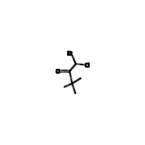 CCC(Cl)C(=O)C(C)(C)C